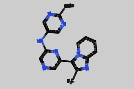 COc1ncc(Nc2cncc(-c3c(C(F)(F)F)nc4ccccn34)n2)cn1